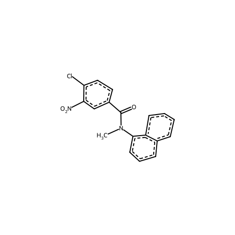 CN(C(=O)c1ccc(Cl)c([N+](=O)[O-])c1)c1cccc2ccccc12